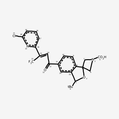 CC(C)(C)C1OC2(CN(C(=O)O)C2)c2ccc(C(=O)/C=C(/c3cccc(Cl)n3)C(F)(F)F)cc21